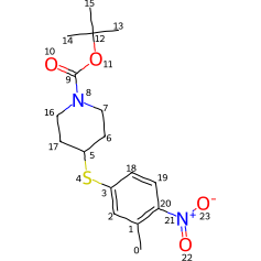 Cc1cc(SC2CCN(C(=O)OC(C)(C)C)CC2)ccc1[N+](=O)[O-]